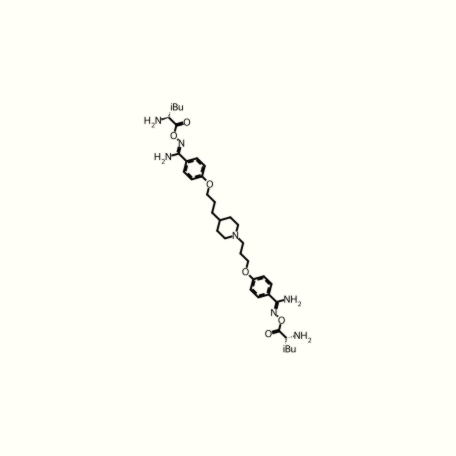 CC[C@@H](C)[C@H](N)C(=O)O/N=C(\N)c1ccc(OCCCC2CCN(CCCOc3ccc(/C(N)=N/OC(=O)[C@H](N)[C@@H](C)CC)cc3)CC2)cc1